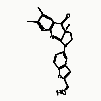 Cc1cc2c(cc1C)C(=O)[C@]1(C)CCN(c3ccc4oc(CO)cc4c3)C1=N2